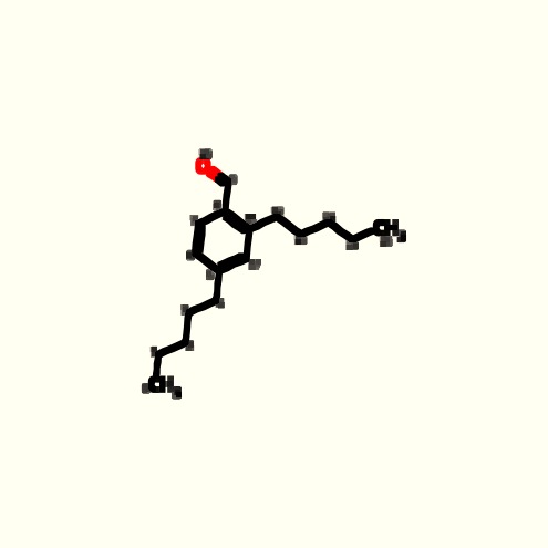 CCCCCc1ccc(C=O)c(CCCCC)c1